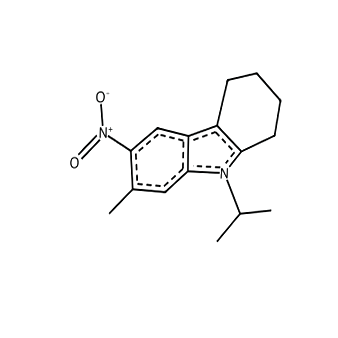 Cc1cc2c(cc1[N+](=O)[O-])c1c(n2C(C)C)CCCC1